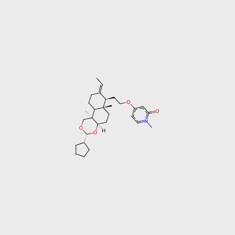 C/C=C1\CCC2[C@]3(C)CO[C@@H](C4CCCC4)O[C@@H]3CC[C@@]2(C)[C@@H]1CCOc1ccn(C)c(=O)c1